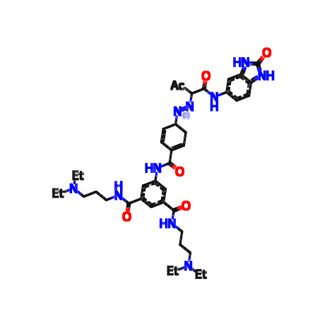 CCN(CC)CCCNC(=O)c1cc(NC(=O)C2=CCC(/N=N/C(C(C)=O)C(=O)Nc3ccc4[nH]c(=O)[nH]c4c3)C=C2)cc(C(=O)NCCCN(CC)CC)c1